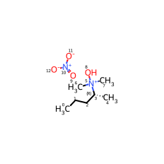 CCC[C@@H](C)[N+](C)(C)O.O=[N+]([O-])[O-]